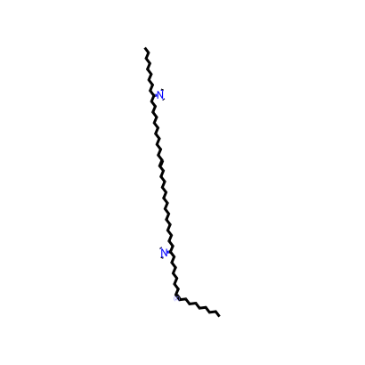 CCCCCCCC/C=C\CCCCCCCC(CCCCCCCCCCCCCCCC=CCCCCCCCCCCCC(CCCCCCCCC)N(C)C)N(C)C